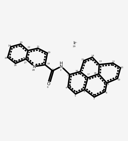 O=C(Nc1ccc2ccc3cccc4ccc1c2c34)c1ccc2ccccc2n1.[Ir]